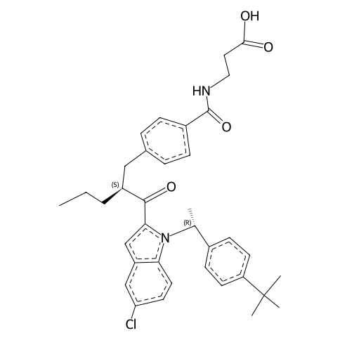 CCC[C@@H](Cc1ccc(C(=O)NCCC(=O)O)cc1)C(=O)c1cc2cc(Cl)ccc2n1[C@H](C)c1ccc(C(C)(C)C)cc1